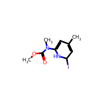 COC(=O)N(C)C1=CC(C)=CC(I)N1